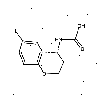 O=C(O)NC1CCOc2ccc(I)cc21